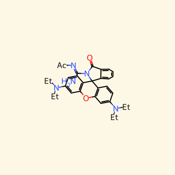 CCN(CC)c1ccc2c(c1)Oc1cc(N(CC)CC)ccc1C21c2ccccc2C(=O)N1/C(N)=N/C(C)=O